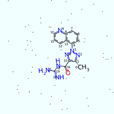 Cc1nn(-c2cccc3ncccc23)nc1C(=O)NC(=N)N